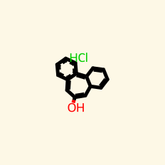 Cl.OC1=CC2C=CC=CC2=c2ccccc2=C1